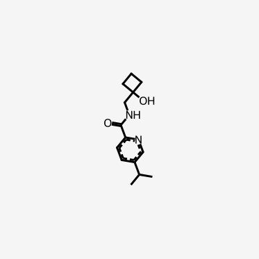 CC(C)c1ccc(C(=O)NCC2(O)CCC2)nc1